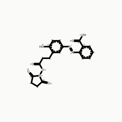 O=C(CCc1cc(N=Nc2ccccc2C(=O)O)ccc1O)ON1C(=O)CCC1=O